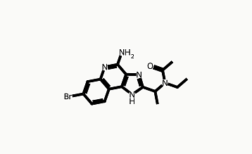 CCN(C(C)=O)C(C)c1nc2c(N)nc3cc(Br)ccc3c2[nH]1